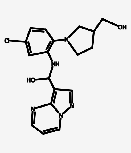 OCC1CCN(c2ccc(Cl)cc2NC(O)c2cnn3cccnc23)C1